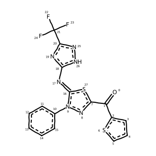 O=C(c1cccs1)c1nn(-c2ccccc2)/c(=N/c2nc(C(F)(F)F)n[nH]2)s1